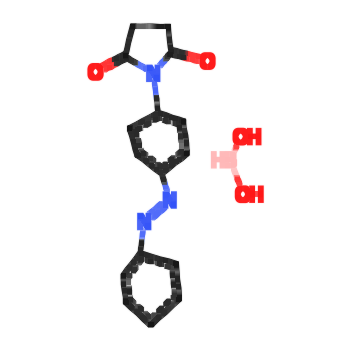 O=C1CCC(=O)N1c1ccc(N=Nc2ccccc2)cc1.OBO